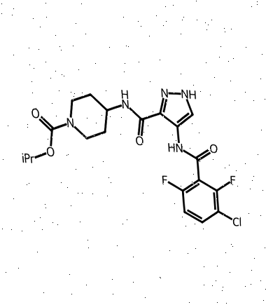 CC(C)OC(=O)N1CCC(NC(=O)c2n[nH]cc2NC(=O)c2c(F)ccc(Cl)c2F)CC1